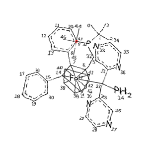 CC(C)(C)P(C[C]12[C]3(c4ccccc4)[C]4(c5ccccc5)[CH]5[C]1(C(P)(c1cnccn1)c1cnccn1)[Fe]54231678[CH]2[CH]1[CH]6[CH]7[CH]28)C(C)(C)C